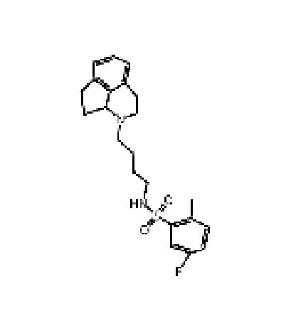 Cc1ccc(F)cc1S(=O)(=O)NCCCCN1CCc2cccc3c2C1CC3